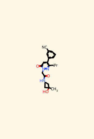 CC(C)c1nn(CC(=O)NC2CC(C)(O)C2)c(=O)cc1-c1cccc(C#N)c1